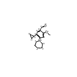 COc1cc(N2CCCCC2)c(C2CC2)cc1C=O